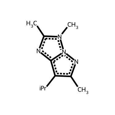 Cc1nn2c(nc(C)n2C)c1C(C)C